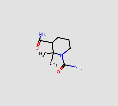 CC1(C)C(C(N)=O)CCCN1C(N)=O